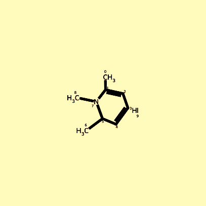 CC1=CC=CC(C)N1C.I